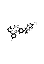 Cn1nccc1-c1cc(F)ccc1Oc1ccc(S(=O)(=O)Nc2ncc(Cl)s2)cc1C#N